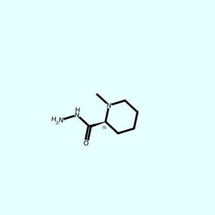 CN1CCCC[C@H]1C(=O)NN